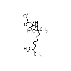 CC(C)COCCCC(C)(C)NC(=O)OC(=O)C1CO1